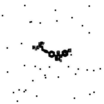 CCCN(C)CCC#C[C@H]1CC[C@H](N(C)C(=O)Oc2ccc(Cl)cc2)CC1